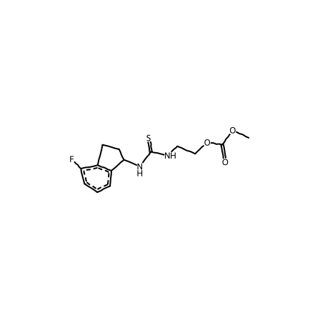 COC(=O)OCCNC(=S)NC1CCc2c(F)cccc21